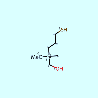 CO[Si](C)(CO)CCCS